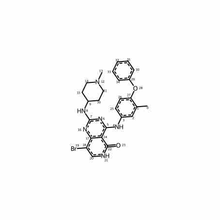 Cc1cc(Nc2nc(NC3CCN(C)CC3)nc3c(Br)c[nH]c(=O)c23)ccc1Oc1ccccc1